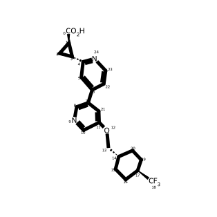 O=C(O)[C@@H]1C[C@H]1c1cc(-c2cncc(OC[C@H]3CC[C@H](C(F)(F)F)CC3)c2)ccn1